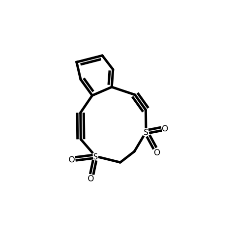 O=S1(=O)C#Cc2ccccc2C#CS(=O)(=O)CC1